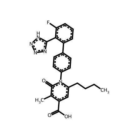 CCCCc1cc(C(=O)O)c(C)c(=O)n1-c1ccc(-c2cccc(F)c2-c2nnn[nH]2)cc1